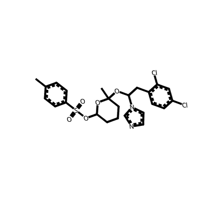 Cc1ccc(S(=O)(=O)OC2CCCC(C)(OC(Cc3ccc(Cl)cc3Cl)n3ccnc3)O2)cc1